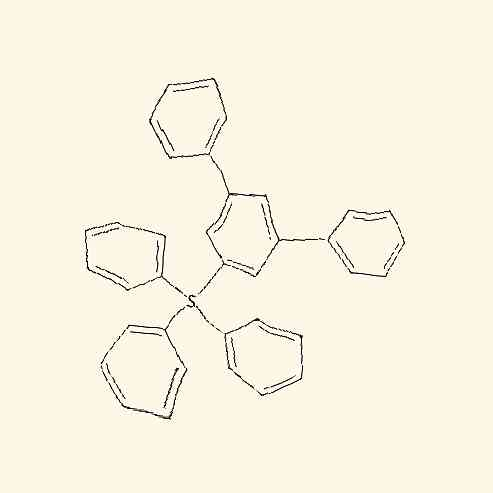 c1ccc(-c2cc(-c3ccccc3)cc(S(c3ccccc3)(c3ccccc3)c3ccccc3)c2)cc1